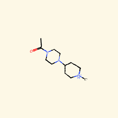 [CH2-][NH+]1CCC(N2CCN(C(C)=O)CC2)CC1